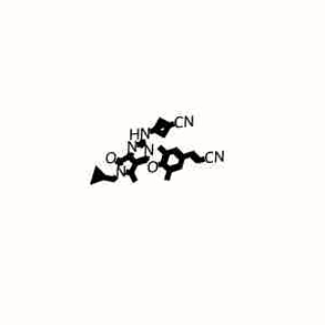 Cc1cc(/C=C/C#N)cc(C)c1Oc1nc(NC23CC(C#N)(C2)C3)nc2c1C(C)N(CC1CC1)C2=O